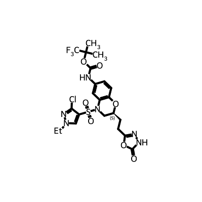 CCn1cc(S(=O)(=O)N2C[C@H](CCc3n[nH]c(=O)o3)Oc3ccc(NC(=O)OC(C)(C)C(F)(F)F)cc32)c(Cl)n1